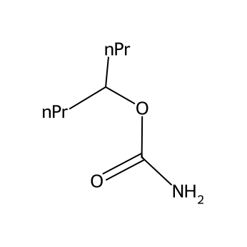 CCCC(CCC)OC(N)=O